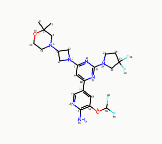 CC1(C)CN(C2CN(c3cc(-c4cnc(N)c(OC(F)F)c4)nc(N4CCC(F)(F)C4)n3)C2)CCO1